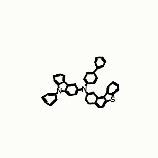 C1=C(N(c2ccc(-c3ccccc3)cc2)c2ccc3c(c2)c2ccccc2n3-c2ccccc2)CCc2ccc3sc4ccccc4c3c21